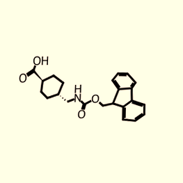 O=C(NC[C@H]1CC[C@H](C(=O)O)CC1)OCC1c2ccccc2-c2ccccc21